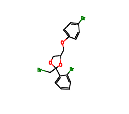 BrCC1(c2ccccc2Br)OCC(COc2ccc(Br)cc2)O1